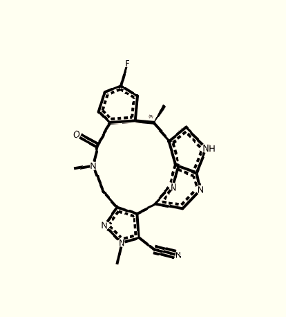 C[C@@H]1c2cc(F)ccc2C(=O)N(C)Cc2nn(C)c(C#N)c2-c2cnc3[nH]cc1c3n2